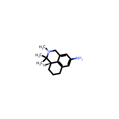 CN1Cc2cc(N)cc3c2[C@H](CCC3)C1(C)C